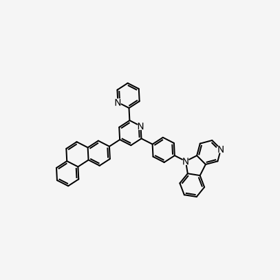 c1ccc(-c2cc(-c3ccc4c(ccc5ccccc54)c3)cc(-c3ccc(-n4c5ccccc5c5cnccc54)cc3)n2)nc1